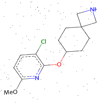 COc1ccc(Cl)c(OC2CCC3(CC2)CNC3)n1